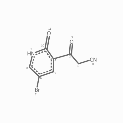 N#CCC(=O)c1cc(Br)c[nH]c1=O